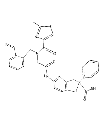 Cc1nc(C(=O)N(CC(=O)Nc2ccc3c(c2)CC2(C3)C(=O)Nc3ccccc32)Cc2ccccc2C=O)cs1